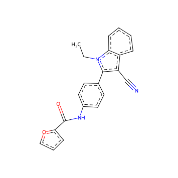 CCn1c(-c2ccc(NC(=O)c3ccco3)cc2)c(C#N)c2ccccc21